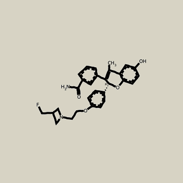 CC1=C(c2cccc(C(N)=O)c2)[C@@H](c2ccc(OCCN3CC(CF)C3)cc2)Oc2ccc(O)cc21